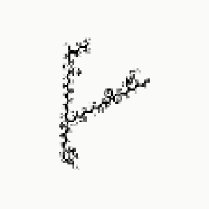 C=C=C=CC(CCCC)CCOC(=O)CCCCCCCCCC(CCCCCCCCCC(=O)OCCC(C)CCCC)OCCCCN1CCN(C)CC1